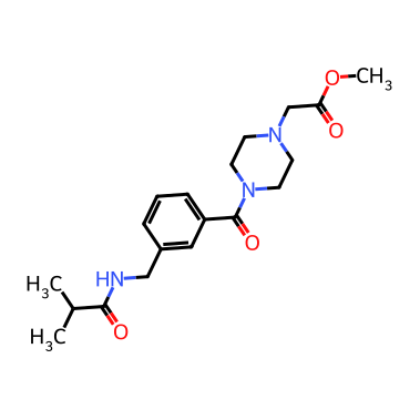 COC(=O)CN1CCN(C(=O)c2cccc(CNC(=O)C(C)C)c2)CC1